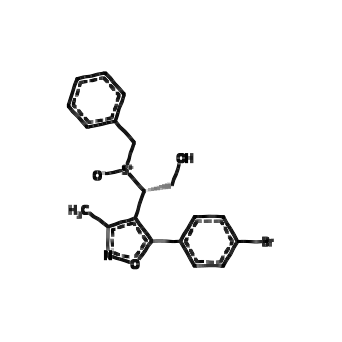 Cc1noc(-c2ccc(Br)cc2)c1[C@@H](CO)[S+]([O-])Cc1ccccc1